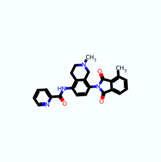 Cc1cccc2c1C(=O)N(c1ccc(NC(=O)c3ccccn3)c3c1CN(C)CC3)C2=O